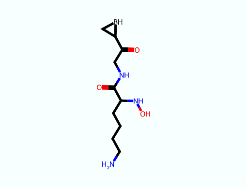 NCCCCC(NO)C(=O)NCC(=O)C1BC1